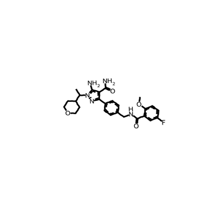 COc1ccc(F)cc1C(=O)NCc1ccc(-c2nn(C(C)C3CCOCC3)c(N)c2C(N)=O)cc1